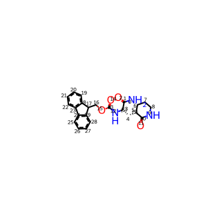 NC(=O)[C@H](C[C@@H]1CCCNC1=O)NC(=O)OCC1c2ccccc2-c2ccccc21